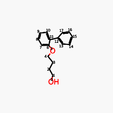 OCCCCOc1ccccc1-c1ccccc1